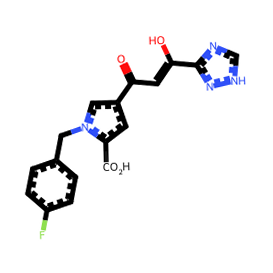 O=C(C=C(O)c1nc[nH]n1)c1cc(C(=O)O)n(Cc2ccc(F)cc2)c1